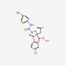 C=C(C)CC1(C(=O)OCC)CN(C(=O)Nc2ccc(Br)cc2)N=C1c1ccc(Cl)cc1